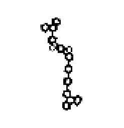 c1ccc2c(c1)cc(-c1ccc3oc4cc5c(cc4c3c1)oc1ccc(-c3ccc(-c4ccc(-c6ccc7c8ccccc8c8ccccc8c7c6)cc4)cc3)cc15)c1ccccc12